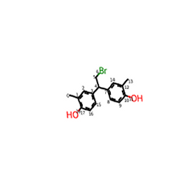 Cc1cc(C(CBr)c2ccc(O)c(C)c2)ccc1O